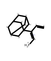 C=C/C(=C/P)C12CC3CC(CC(C3)C1)C2